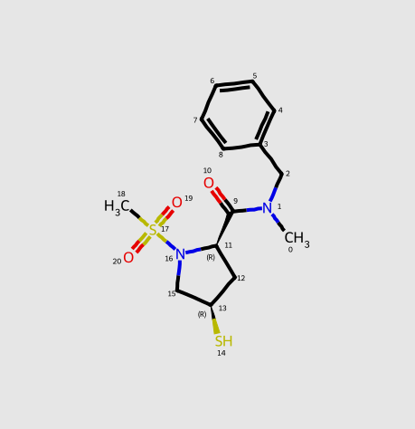 CN(Cc1ccccc1)C(=O)[C@H]1C[C@@H](S)CN1S(C)(=O)=O